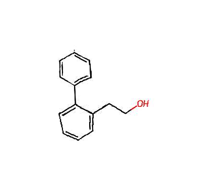 OCCc1ccccc1-c1cc[c]cc1